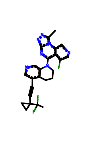 Cc1nnc2nc(N3CCCc4c(C#CC5(C(C)(F)F)CC5)cncc43)c3c(F)cncc3n12